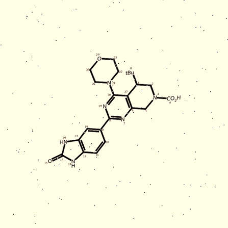 CC(C)(C)C1CN(C(=O)O)Cc2nc(-c3ccc4[nH]c(=O)[nH]c4c3)nc(N3CCOCC3)c21